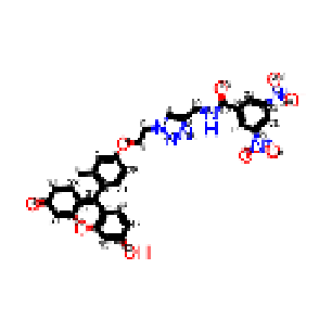 Cc1cc(OCCn2cc(CNC(=O)c3cc([N+](=O)[O-])cc([N+](=O)[O-])c3)nn2)ccc1-c1c2ccc(=O)cc-2oc2cc(O)ccc12